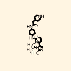 Cc1ncc(-c2ccnc(NC3CCC(NC(=O)CC4CCNCC4)CC3)n2)n1C(C)C